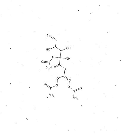 N=CC(O)C(O)C(O)(OC(N)=O)C(=O)OC(=NOC(N)=O)OOC(N)=O